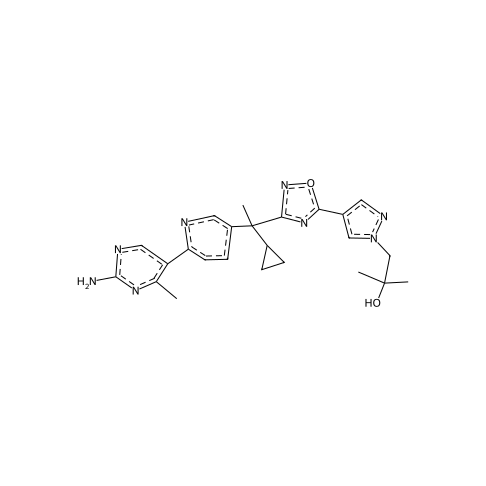 Cc1nc(N)ncc1-c1ccc(C(C)(c2noc(-c3cnn(CC(C)(C)O)c3)n2)C2CC2)cn1